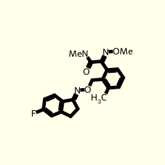 CNC(=O)/C(=N/OC)c1cccc(C)c1CO/N=C1\CCc2cc(F)ccc21